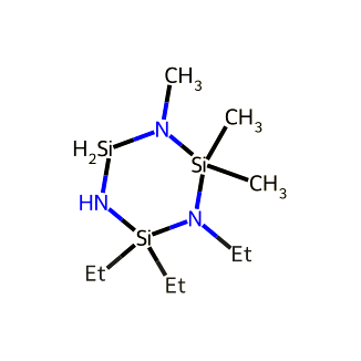 CCN1[Si](CC)(CC)N[SiH2]N(C)[Si]1(C)C